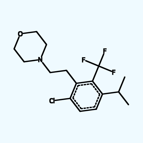 CC(C)c1ccc(Cl)c(CCN2CCOCC2)c1C(F)(F)F